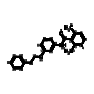 Cc1ccnc(N)c1C(=O)Nc1cccc(OCCc2ccccc2)c1